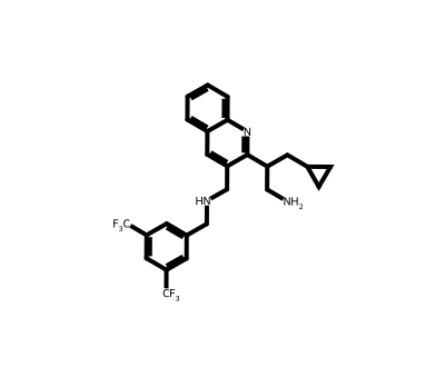 NCC(CC1CC1)c1nc2ccccc2cc1CNCc1cc(C(F)(F)F)cc(C(F)(F)F)c1